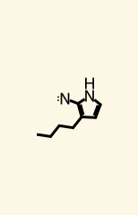 CCCCc1cc[nH]c1[N]